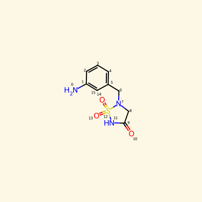 Nc1cccc(CN2CC(=O)NS2(=O)=O)c1